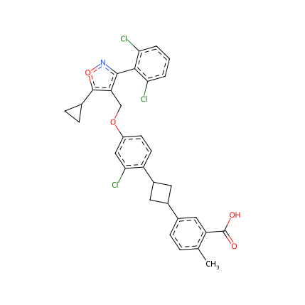 Cc1ccc(C2CC(c3ccc(OCc4c(-c5c(Cl)cccc5Cl)noc4C4CC4)cc3Cl)C2)cc1C(=O)O